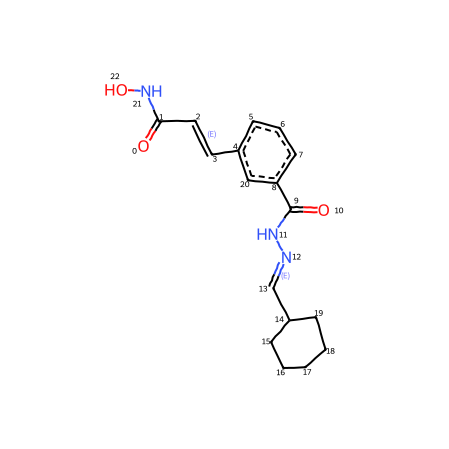 O=C(/C=C/c1cccc(C(=O)N/N=C/C2CCCCC2)c1)NO